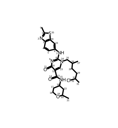 Cc1nc2ccc(Nc3nc(=O)c(C(=O)NC4CCOC(C)C4)cn3CC(C)CCC(C)Cl)cc2s1